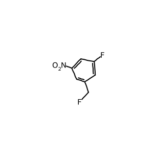 O=[N+]([O-])c1cc(F)cc(CF)c1